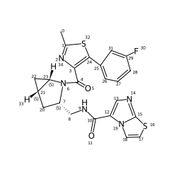 Cc1nc(C(=O)N2[C@H](CNC(=O)c3cnc4sccn34)C[C@@H]3C[C@@H]32)c(-c2cccc(F)c2)s1